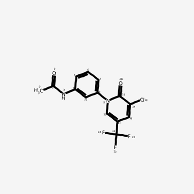 CC(=O)Nc1cccc(-n2cc(C(F)(F)F)cc(Cl)c2=O)c1